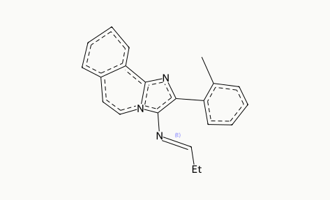 CC/C=N/c1c(-c2ccccc2C)nc2c3ccccc3ccn12